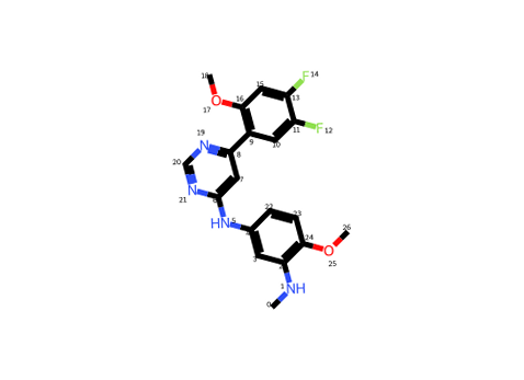 CNc1cc(Nc2cc(-c3cc(F)c(F)cc3OC)ncn2)ccc1OC